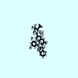 O=C(NC(C1CC1)C(F)(F)F)c1cn(-c2c(F)cc(F)cc2F)c2nc(On3nnc4cccnc43)c(F)cc2c1=O